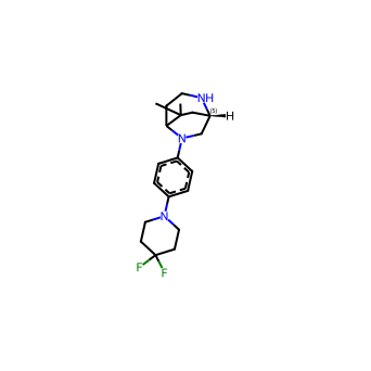 CC1(C)C[C@H]2CN(c3ccc(N4CCC(F)(F)CC4)cc3)C1CCN2